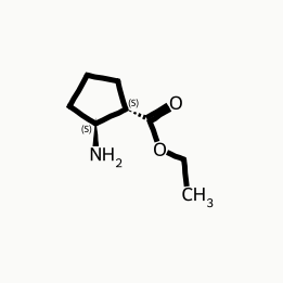 CCOC(=O)[C@H]1CCC[C@@H]1N